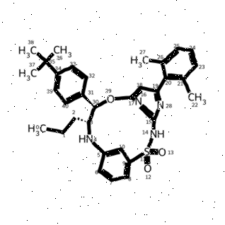 CCC[C@H]1Nc2cccc(c2)S(=O)(=O)Nc2nc(cc(-c3c(C)cccc3C)n2)O[C@@H]1c1ccc(C(C)(C)C)cc1